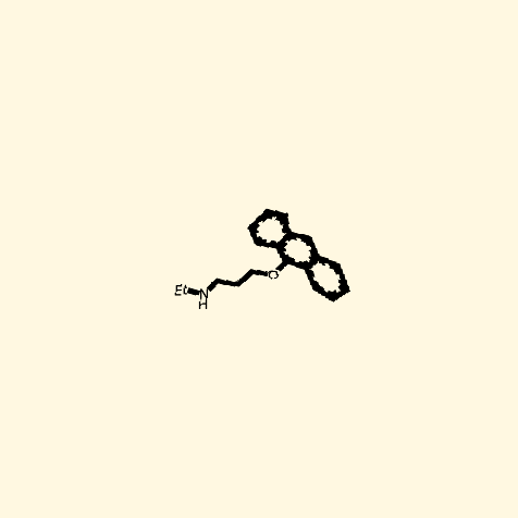 CCNCCCOc1c2ccccc2cc2ccccc12